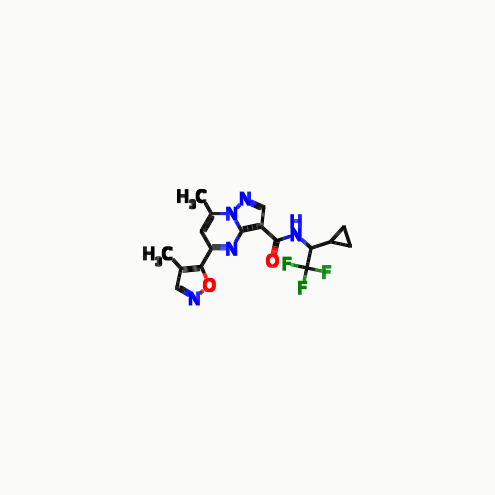 Cc1cnoc1-c1cc(C)n2ncc(C(=O)NC(C3CC3)C(F)(F)F)c2n1